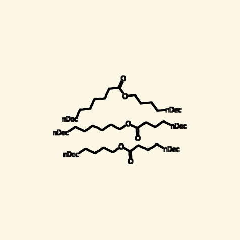 CCCCCCCCCCCCCCCC(=O)OCCCCCCCCCCCCCC.CCCCCCCCCCCCCCCCOC(=O)CCCCCCCCCCCCC.CCCCCCCCCCCCCCOC(=O)CCCCCCCCCCCCC